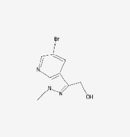 Cn1nc(CO)c2cc(Br)cnc21